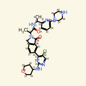 CC(NC(=O)C(C)N1Cc2ccc(-c3nc(NC4CCOCC4)ncc3Cl)cc2C1=O)c1cccc(N2CCNCC2)n1